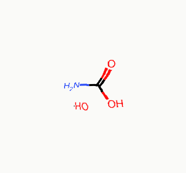 NC(=O)O.[OH]